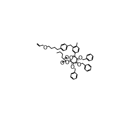 C=CCOCCCCc1ccc(Cc2cc([C@@H]3O[C@@H](OS(=O)(=O)CCCC)[C@@H](OCc4ccccc4)[C@H](OCc4ccccc4)[C@H]3OCc3ccccc3)ccc2C)cc1